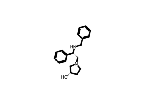 O[C@H]1CCN(C[C@@H](NCc2ccccc2)c2ccccc2)C1